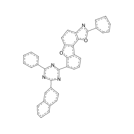 c1ccc(-c2nc(-c3ccc4ccccc4c3)nc(-c3cccc4c3oc3ccc5nc(-c6ccccc6)oc5c34)n2)cc1